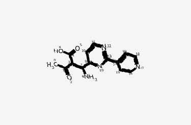 CC(=O)C(C(=O)O)=C(N)c1ccnc(-c2ccncc2)n1